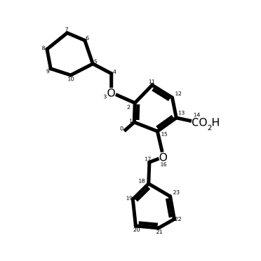 Cc1c(OCC2CCCCC2)ccc(C(=O)O)c1OCc1ccccc1